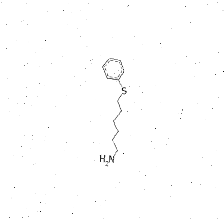 NCCCCCCSc1ccccc1